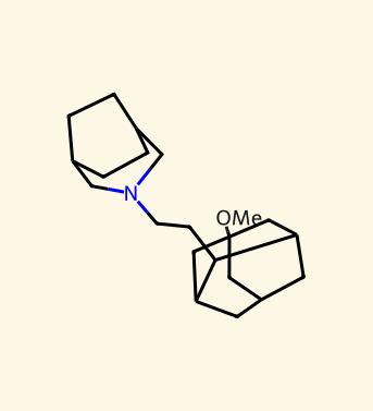 COC12CC3CC(C1)C(CCN1CC4CCC(CC4)C1)C(C3)C2